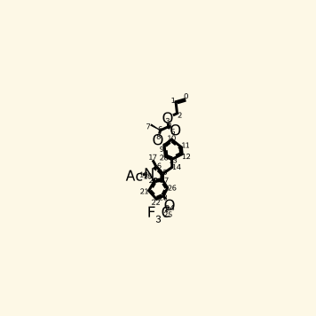 C=CCOC(=O)[C@H](C)Oc1cccc(Cc2c(C)n(C(C)=O)c3ccc(OC(F)(F)F)cc23)c1